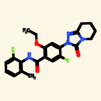 Cc1cccc(F)c1NC(=O)c1cc(F)c(-n2nc3n(c2=O)CCCC3)cc1OCC(F)(F)F